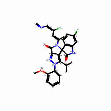 C=N/C=C(Cl)\C=C(/C)N1C(=O)c2nn(-c3ccccc3OC)c(C(C)C)c2C12C(=O)Nc1cc(Cl)ccc12